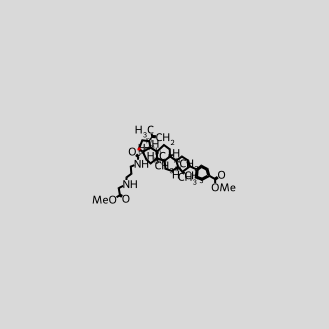 C=C(C)[C@@H]1CC[C@]2(C(=O)NCCCNCC(=O)OC)CC[C@]3(C)[C@H](CC[C@@H]4[C@@]5(C)CC=C(c6ccc(C(=O)OC)cc6)C(C)(C)[C@@H]5CC[C@]43C)[C@@H]12